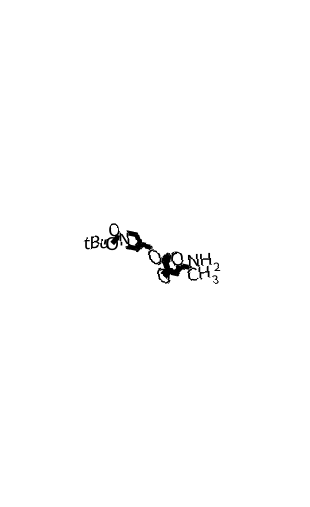 CC(N)c1cc(=O)c(OCC2CCN(C(=O)OC(C)(C)C)CC2)co1